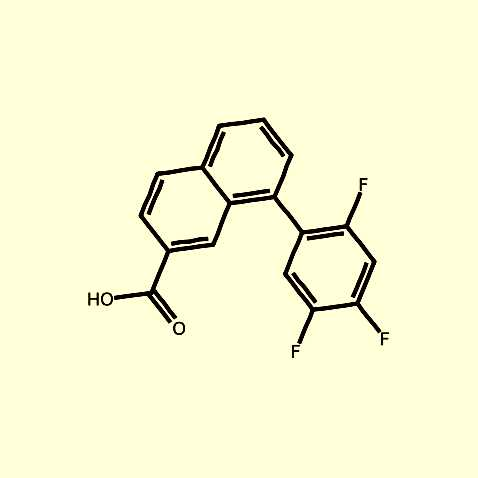 O=C(O)c1ccc2cccc(-c3cc(F)c(F)cc3F)c2c1